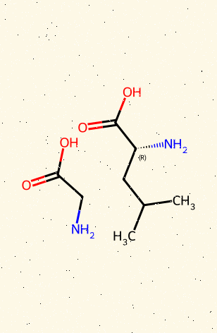 CC(C)C[C@@H](N)C(=O)O.NCC(=O)O